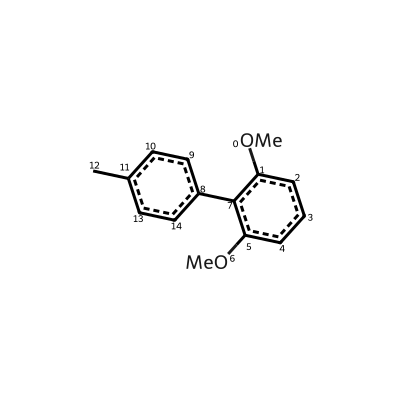 COc1cccc(OC)c1-c1ccc(C)cc1